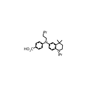 CC(C)CCN(c1ccc(C(=O)O)cc1)c1ccc2c(c1)C(C)(C)CCN2C(C)C